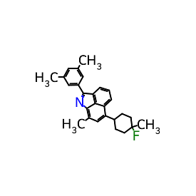 Cc1cc(C)cc(C2=Nc3c(C)cc(C4CCC(C)(F)CC4)c4cccc2c34)c1